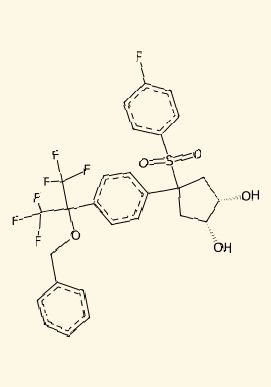 O=S(=O)(c1ccc(F)cc1)C1(c2ccc(C(OCc3ccccc3)(C(F)(F)F)C(F)(F)F)cc2)C[C@@H](O)[C@@H](O)C1